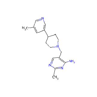 Cc1cncc(C2CCN(Cc3cnc(C)nc3N)CC2)c1